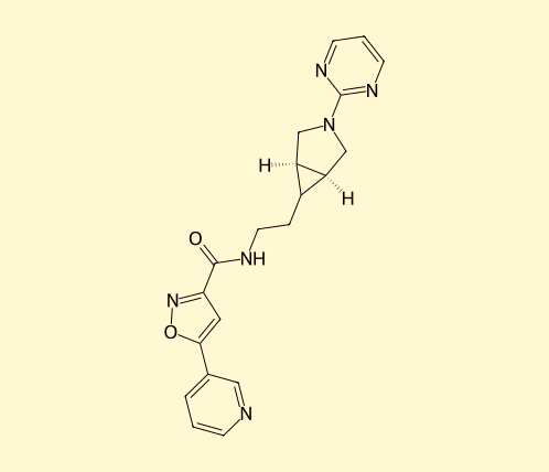 O=C(NCCC1[C@H]2CN(c3ncccn3)C[C@@H]12)c1cc(-c2cccnc2)on1